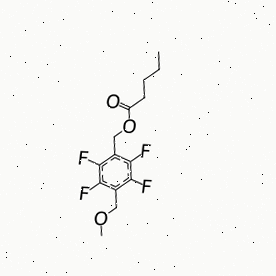 CCCCC(=O)OCc1c(F)c(F)c(COC)c(F)c1F